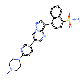 CN1CCN(c2ccc(-c3cnc4c(-c5ccc(S(N)(=O)=O)c6ccccc56)cnn4c3)cn2)CC1